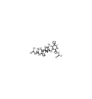 C=C(C)COc1ccc(Cl)cc1Cn1nc(N2CCN(CC(C)C)CC2=O)cc1C